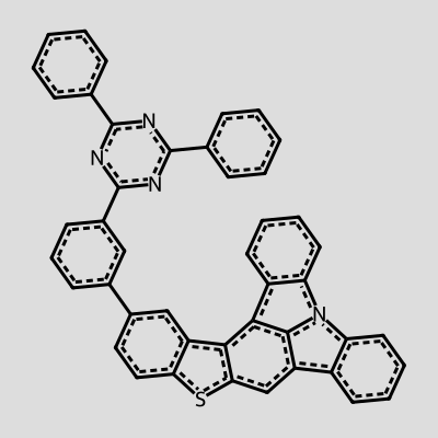 c1ccc(-c2nc(-c3ccccc3)nc(-c3cccc(-c4ccc5sc6cc7c8ccccc8n8c9ccccc9c(c6c5c4)c78)c3)n2)cc1